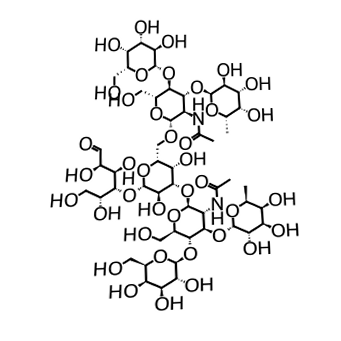 CC(=O)N[C@H]1[C@H](OC[C@H]2O[C@@H](O[C@@H]([C@H](O)[C@@H](O)C=O)[C@H](O)CO)[C@H](O)[C@@H](O[C@@H]3O[C@H](CO)[C@@H](O[C@@H]4O[C@H](CO)[C@H](O)[C@H](O)[C@H]4O)[C@H](O[C@@H]4O[C@@H](C)[C@@H](O)[C@@H](O)[C@@H]4O)[C@H]3NC(C)=O)[C@H]2O)O[C@H](CO)[C@@H](O[C@@H]2O[C@H](CO)[C@H](O)[C@H](O)[C@H]2O)[C@@H]1O[C@@H]1O[C@@H](C)[C@@H](O)[C@@H](O)[C@@H]1O